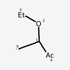 [CH2]C(OCC)C(C)=O